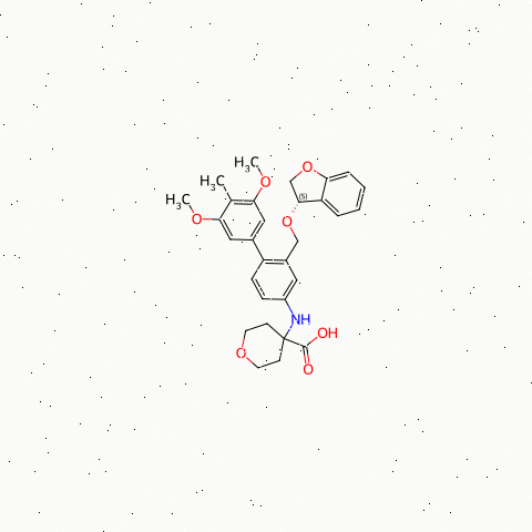 COc1cc(-c2ccc(NC3(C(=O)O)CCOCC3)cc2CO[C@@H]2COc3ccccc32)cc(OC)c1C